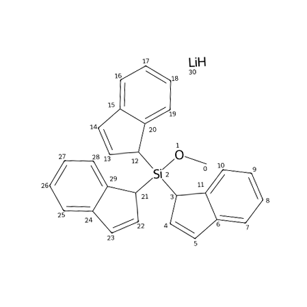 CO[Si](C1C=Cc2ccccc21)(C1C=Cc2ccccc21)C1C=Cc2ccccc21.[LiH]